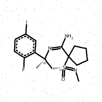 CN=[S@]1(=O)C[C@@](C)(c2cc(I)ccc2F)N=C(N)C12CCCC2